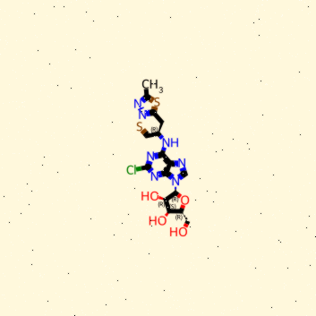 Cc1nnc(C[C@H](C=S)Nc2nc(Cl)nc3c2ncn3[C@@H]2O[C@H](CO)[C@@H](O)[C@H]2O)s1